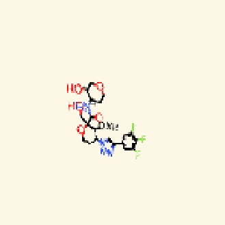 COC1C(n2cc(-c3cc(F)c(F)c(F)c3)nn2)CCOC1(CO)C(=O)N[C@H]1CCOC[C@@H]1O